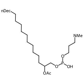 CCCCCCCCCCCCCCCCCCCCC(COP(O)OCCCNC)OC(C)=O